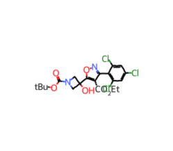 CCOC(=O)c1c(-c2c(Cl)cc(Cl)cc2Cl)noc1C1(O)CN(C(=O)OC(C)(C)C)C1